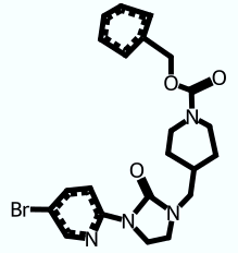 O=C(OCc1ccccc1)N1CCC(CN2CCN(c3ccc(Br)cn3)C2=O)CC1